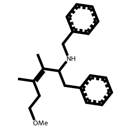 COCCC(C)=C(C)C(Cc1ccccc1)NCc1ccccc1